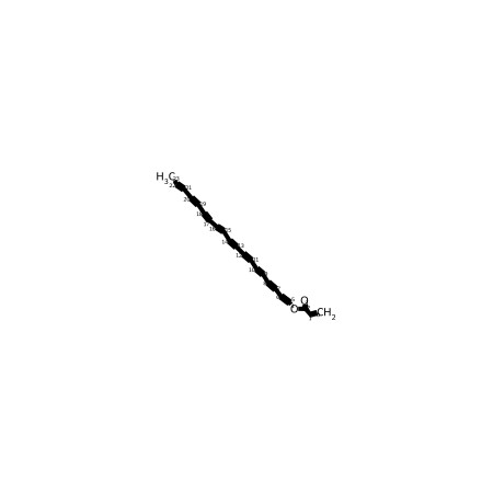 C=CC(=O)OC#CC#CC#CC#CC#CC#CC#CC#CC#CC